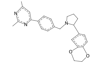 Cc1cc(-c2ccc(CN3CCCC3c3ccc4c(c3)OCCO4)cc2)nc(C)n1